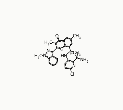 Cc1cc([C@@H](C)Nc2ccc(Cl)nc2C(N)=O)c2oc(-c3nn(C)c4ccccc34)c(C)c(=O)c2c1